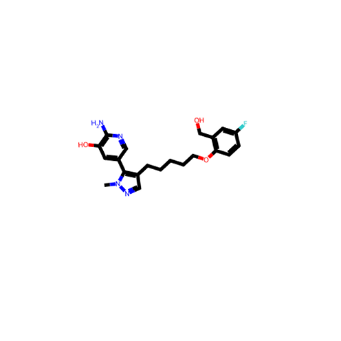 Cn1ncc(CCCCCOc2ccc(F)cc2CO)c1-c1cnc(N)c(O)c1